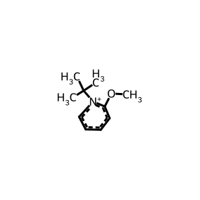 COc1cccc[n+]1C(C)(C)C